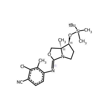 Cc1c(/N=C2\OC[C@@]3(C)[C@@H](O[Si](C)(C)C(C)(C)C)CCN23)ccc(C#N)c1Cl